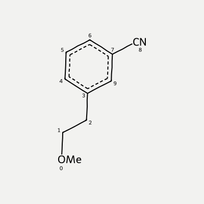 COCCc1cccc(C#N)c1